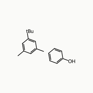 Cc1cc(C)cc(C(C)(C)C)c1.Oc1ccccc1